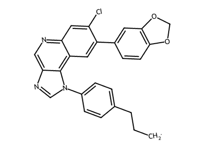 [CH2]CCc1ccc(-n2cnc3cnc4cc(Cl)c(-c5ccc6c(c5)OCO6)cc4c32)cc1